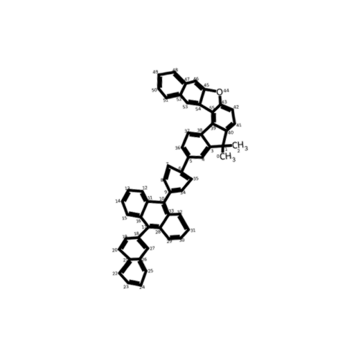 CC1(C)c2cc(-c3ccc(-c4c5ccccc5c(-c5ccc6ccccc6c5)c5ccccc45)cc3)ccc2-c2c1ccc1oc3cc4ccccc4cc3c21